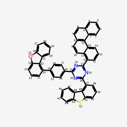 c1ccc2c(c1)ccc1ccc3c(-c4nc(-c5ccc(-c6cccc7oc8ccccc8c67)cc5)nc(-c5cccc6sc7ccccc7c56)n4)cccc3c12